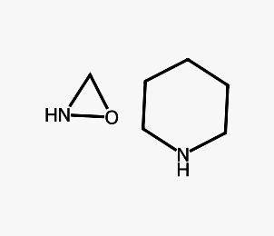 C1CCNCC1.C1NO1